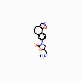 NCC1CN(c2ccc3c(c2)CCCc2cnoc2-3)C(=O)O1